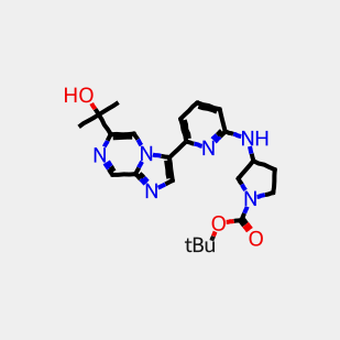 CC(C)(C)OC(=O)N1CCC(Nc2cccc(-c3cnc4cnc(C(C)(C)O)cn34)n2)C1